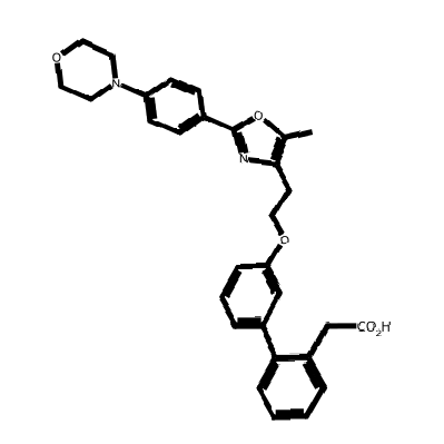 Cc1oc(-c2ccc(N3CCOCC3)cc2)nc1CCOc1cccc(-c2ccccc2CC(=O)O)c1